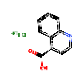 Cl.Cl.O=C(O)c1ccnc2ccccc12